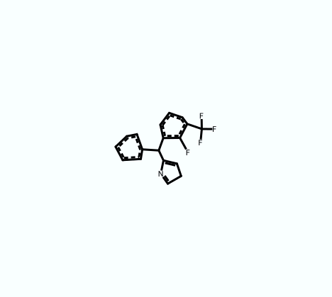 Fc1c(C(C2=CCC=N2)c2ccccc2)cccc1C(F)(F)F